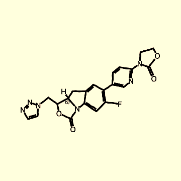 O=C1OCCN1c1ccc(-c2cc3c(cc2F)N2C(=O)OC(Cn4ccnn4)[C@@H]2C3)cn1